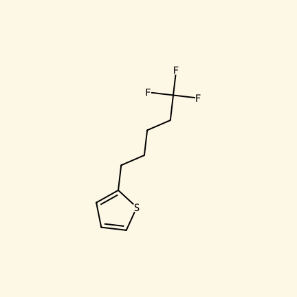 FC(F)(F)CCCCc1cccs1